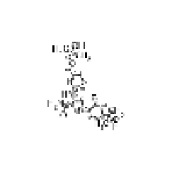 CC(C)(O)COCc1cccc(Nc2sc(-c3ccc(C(C)(C)O)cc3F)cc2C(N)=O)n1